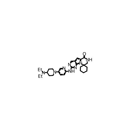 CCN(CC)C1CCN(c2ccc(Nc3ncc4cc5n(c4n3)C3(CCCCC3)CNC5=O)nc2)CC1